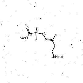 CCCCCCCCCC(C)=COC(C)(C)C(=O)OC